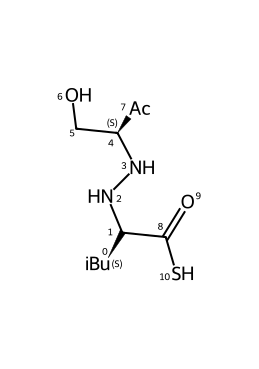 CC[C@H](C)C(NN[C@@H](CO)C(C)=O)C(=O)S